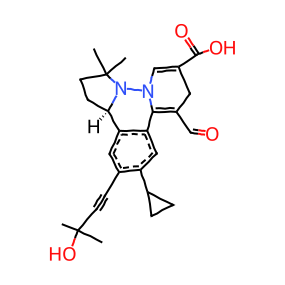 CC(C)(O)C#Cc1cc2c(cc1C1CC1)C1=C(C=O)CC(C(=O)O)=CN1N1[C@@H]2CCC1(C)C